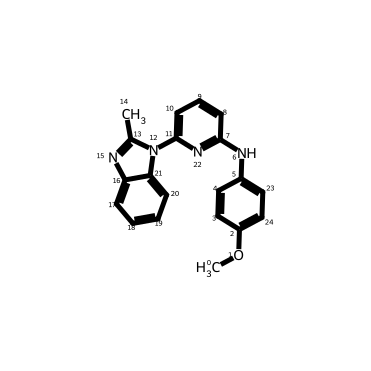 COc1ccc(Nc2cccc(-n3c(C)nc4ccccc43)n2)cc1